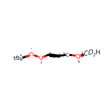 CC(C)(C)OOC=CCOC(=O)O